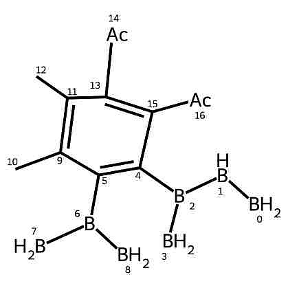 BBB(B)c1c(B(B)B)c(C)c(C)c(C(C)=O)c1C(C)=O